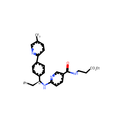 CCOC(=O)CCNC(=O)c1ccc(N[C@@H](CC(C)C)c2ccc(-c3ccc(C(F)(F)F)cn3)cc2)nc1